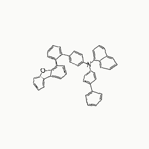 c1ccc(-c2ccc(N(c3ccc(-c4ccccc4-c4cccc5c4oc4ccccc45)cc3)c3cccc4ccccc34)cc2)cc1